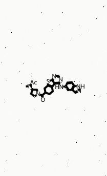 CC(=O)N(C)C1CCN(C(=O)C2CCc3c(sc4ncnc(Nc5ccc6[nH]ncc6c5)c34)C2)C1